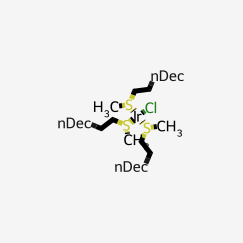 CCCCCCCCCCCC[S](C)=[Ir]([Cl])(=[S](C)CCCCCCCCCCCC)=[S](C)CCCCCCCCCCCC